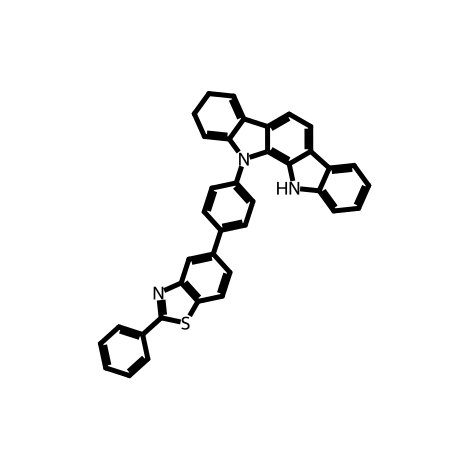 C1=c2c(n(-c3ccc(-c4ccc5sc(-c6ccccc6)nc5c4)cc3)c3c2ccc2c4ccccc4[nH]c23)=CCC1